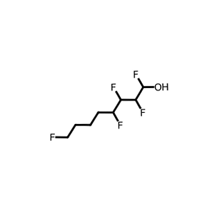 OC(F)C(F)C(F)C(F)CCCCF